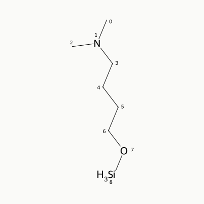 CN(C)CCCCO[SiH3]